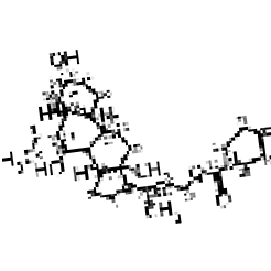 CC[C@H]1[C@@H](O)C2[C@@H]3CC[C@H]([C@H](C)CCOC(=O)N4CCCCC4)C3(C)CC[C@@H]2[C@@]2(C)CC[C@@H](O)C[C@@H]12